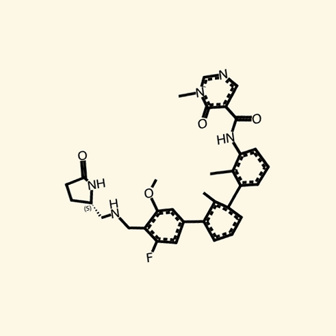 COc1cc(-c2cccc(-c3cccc(NC(=O)c4cncn(C)c4=O)c3C)c2C)cc(F)c1CNC[C@@H]1CCC(=O)N1